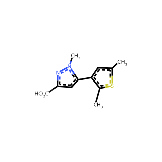 Cc1cc(-c2cc(C(=O)O)nn2C)c(C)s1